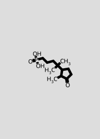 CC1C(=O)CCC1C(C)(C)CCCP(=O)(O)O